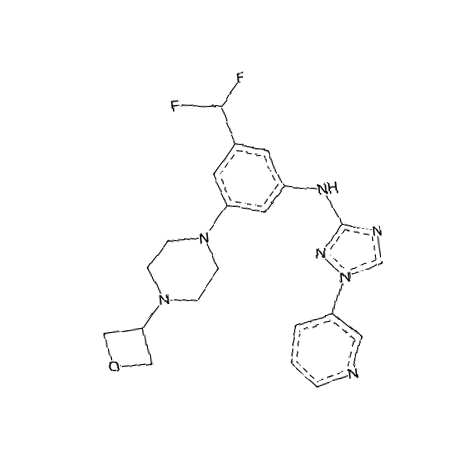 FC(F)c1cc(Nc2ncn(-c3cccnc3)n2)cc(N2CCN(C3COC3)CC2)c1